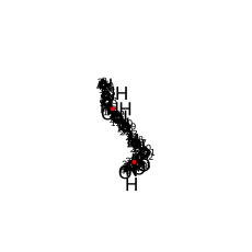 CN1CCC[C@@H]1c1cc2cnc(NC(=O)c3ccc(N4CCC(CCN5CCN(c6cccc7c6CN(C6CCC(=O)NC6=O)C7=O)CC5)CC4)nc3)cc2[nH]1